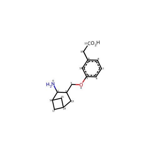 NC1C(COc2cccc(CC(=O)O)c2)CC2CC1C2